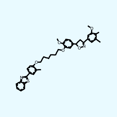 COc1ccc(C2CC(c3cc(C)c(C)c(OC)c3)=NO2)cc1OCCCCCCOc1ccc(-c2nc3ccccc3s2)cc1C